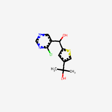 CC(C)(O)c1csc(C(O)c2cncnc2Cl)c1